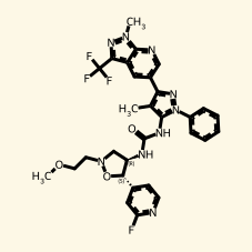 COCCN1C[C@@H](NC(=O)Nc2c(C)c(-c3cnc4c(c3)c(C(F)(F)F)nn4C)nn2-c2ccccc2)[C@H](c2ccnc(F)c2)O1